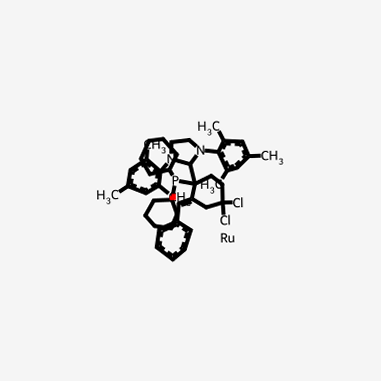 Cc1cc(C)c(N2CCN(c3c(C)cc(C)cc3C)C2C2(P(C3CCCCC3)C3CCCCC3)CCC(Cl)(Cl)CC2=Cc2ccccc2)c(C)c1.[Ru]